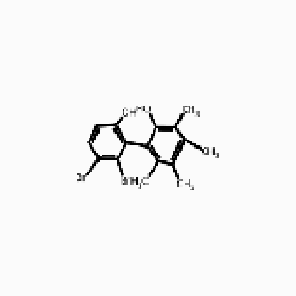 Cc1c(C)c(C)c(-c2c(O)ccc(Br)c2Br)c(O)c1C